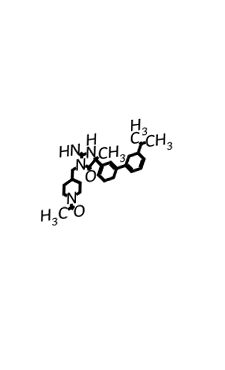 CC(=O)N1CCC(CN2C(=N)NC(C)(C3=CCCC(C4=CC=CC(C(C)C)C4)=C3)C2=O)CC1